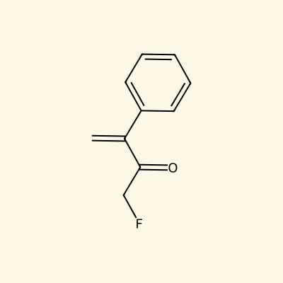 C=C(C(=O)CF)c1ccccc1